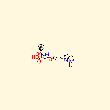 O=C(O)[C@H](CCO[C@H]1C[C@H](CCc2ccc3c(n2)NCCC3)C1)NC(=O)C12CCC(CC1)CC2